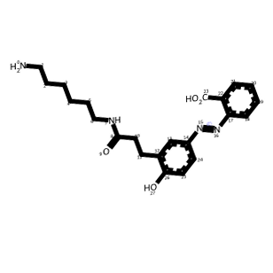 NCCCCCCNC(=O)CCc1cc(/N=N/c2ccccc2C(=O)O)ccc1O